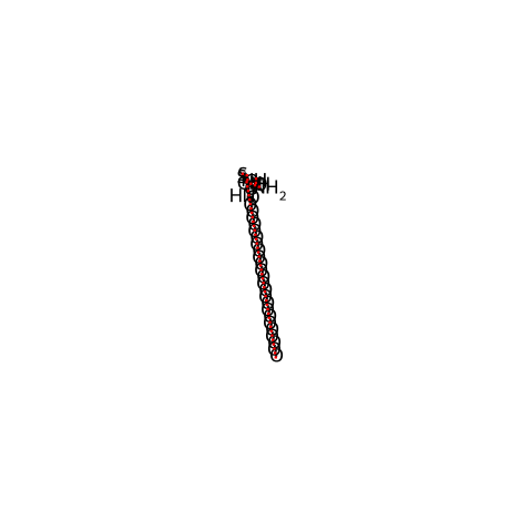 COCCOCCOCCOCCOCCOCCOCCOCCOCCOCCOCCOCCOCCOCCOCCOCCOCCOCCOCCOCCOCCOCCOCCOCCC(=O)NCCCC[C@H](NC(=O)[C@H](CN)N1C(=O)C=CC1=O)C(=O)NC1CCSSC1